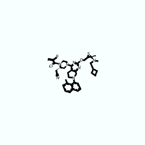 C=C(F)C(=O)N1CCN(c2nc(OCC3S[C@]3(C)N(C)CC3CCC3)nc3c2CCN(c2cccc4cccc(C)c24)C3)C[C@@H]1CC#N